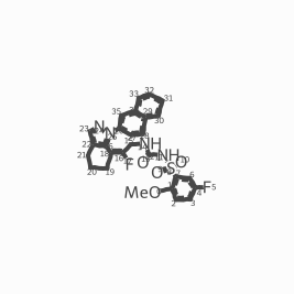 COc1ccc(F)cc1S(=O)(=O)NC(=O)NC/C(F)=C1/CCCc2cnn(-c3ccc4ccccc4c3)c21